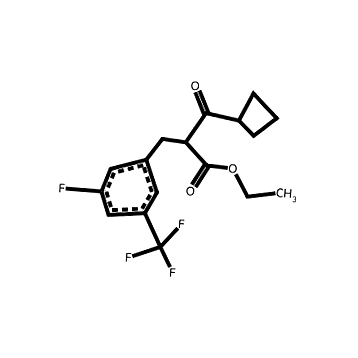 CCOC(=O)C(Cc1cc(F)cc(C(F)(F)F)c1)C(=O)C1CCC1